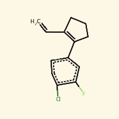 C=CC1=C(c2ccc(Cl)c(F)c2)CCC1